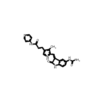 Cc1c(CCC(=O)Nc2ccncc2)c[nH]c1C=C1C(=O)Nc2ccc(NC(N)=O)cc21